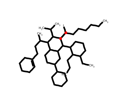 CCCCCCCCC(C(C)C)C(C(C)CCC1=CCCCC1)C1CCC(C2CCCCC2)CC1C(CCI)C1CCCC(CC)C1CCC